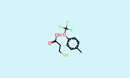 Cc1ccc(OC(F)(F)F)cc1.O=C(O)CCS